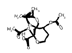 CC(=O)OC1CCOC(OC(C)=O)(C(=O)O)C1(OC(C)=O)OC(C)=O